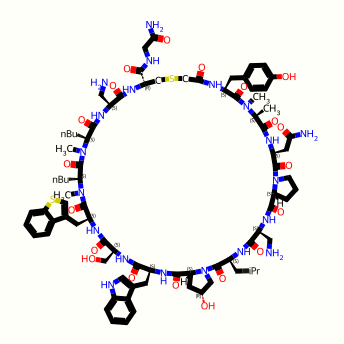 CCCC[C@H]1C(=O)N(C)[C@@H](CCCC)C(=O)N[C@@H](CN)C(=O)N[C@H](C(=O)NCC(N)=O)CSCC(=O)N[C@@H](Cc2ccc(O)cc2)C(=O)N(C)[C@@H](C)C(=O)N[C@@H](CC(N)=O)C(=O)N2CCC[C@H]2C(=O)N[C@@H](CN)C(=O)N[C@@H](CC(C)C)C(=O)N2C[C@H](O)C[C@H]2C(=O)N[C@@H](Cc2c[nH]c3ccccc23)C(=O)N[C@@H](CO)C(=O)N[C@@H](Cc2csc3ccccc23)C(=O)N1C